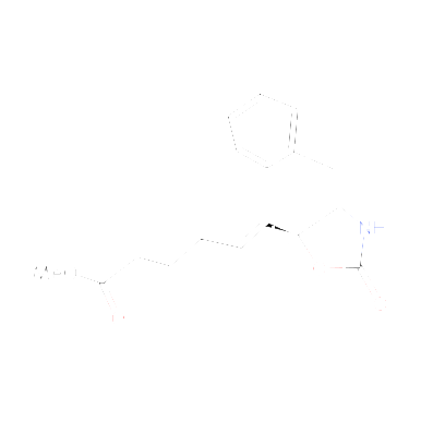 COC(=O)CCC/C=C/[C@@H]1OC(=O)N[C@H]1Cc1ccccc1